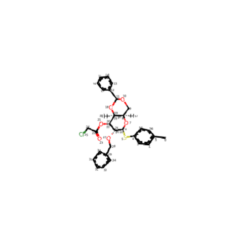 Cc1ccc(S[C@@H]2O[C@@H]3COC(c4ccccc4)O[C@@H]3[C@H](OC(=O)CCl)[C@H]2OCc2ccccc2)cc1